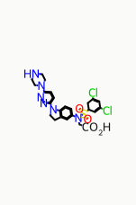 O=C(O)CN(c1ccc2c(c1)CCN2c1ccc(N2CCNCC2)nn1)S(=O)(=O)C1C=C(Cl)C=C(Cl)C1